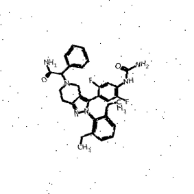 CCc1cccc(CC)c1-n1nc2c(c1-c1cc(F)c(NC(N)=O)cc1F)CN(C(C(N)=O)c1ccccc1)CC2